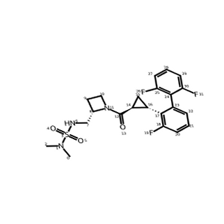 CN(C)S(=O)(=O)NC[C@@H]1CCN1C(=O)[C@H]1C[C@@H]1c1c(F)cccc1-c1c(F)cccc1F